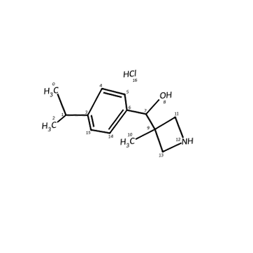 CC(C)c1ccc(C(O)C2(C)CNC2)cc1.Cl